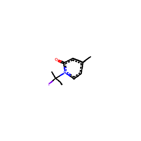 Cc1ccn(C(C)(C)I)c(=O)c1